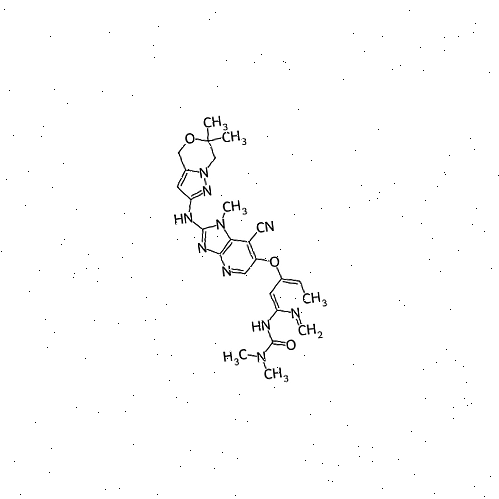 C=N/C(=C\C(=C/C)Oc1cnc2nc(Nc3cc4n(n3)CC(C)(C)OC4)n(C)c2c1C#N)NC(=O)N(C)C